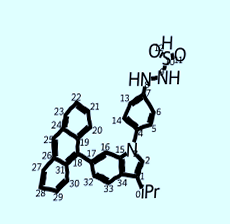 CC(C)c1cn(-c2ccc(NN[SH](=O)=O)cc2)c2cc(-c3c4ccccc4cc4ccccc34)ccc12